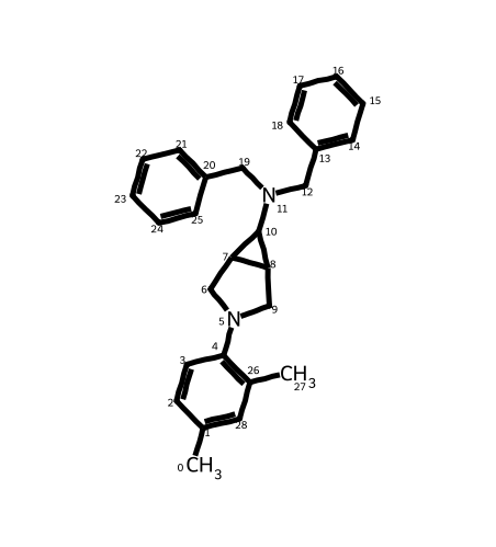 Cc1ccc(N2CC3C(C2)C3N(Cc2ccccc2)Cc2ccccc2)c(C)c1